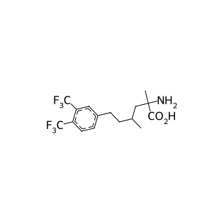 CC(CCc1ccc(C(F)(F)F)c(C(F)(F)F)c1)CC(C)(N)C(=O)O